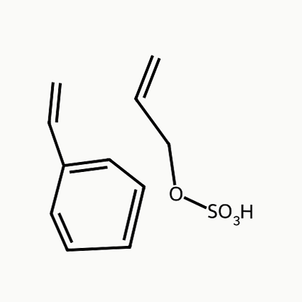 C=CCOS(=O)(=O)O.C=Cc1ccccc1